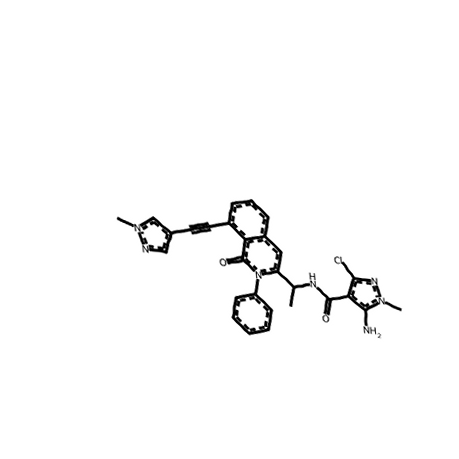 CC(NC(=O)c1c(Cl)nn(C)c1N)c1cc2cccc(C#Cc3cnn(C)c3)c2c(=O)n1-c1ccccc1